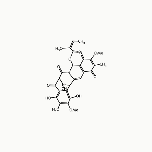 C/C=C(/C)C(=O)OC1C2=C(C=C3C4c5c(O)c(OC)c(C)c(O)c5C(=O)C(C(=O)N31)N4C)C(=O)C(C)=C(OC)C2=O